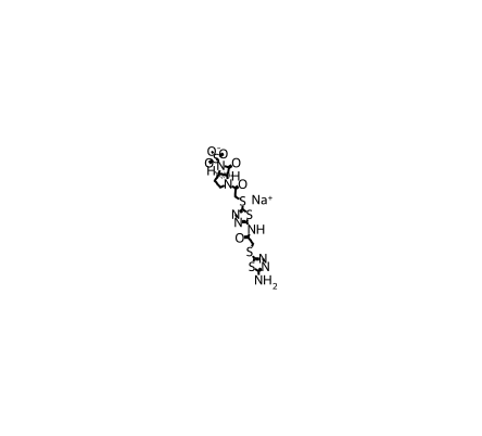 Nc1nnc(SCC(=O)Nc2nnc(SCC(=O)N3CC[C@@H]4[C@H]3C(=O)N4S(=O)(=O)[O-])s2)s1.[Na+]